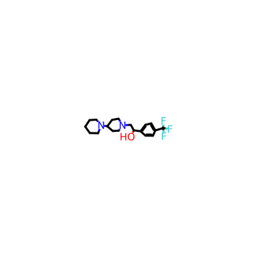 OC(CN1CCC(N2CCCCC2)CC1)c1ccc(C(F)(F)F)cc1